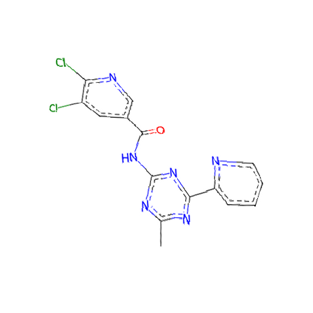 Cc1nc(NC(=O)c2cnc(Cl)c(Cl)c2)nc(-c2ccccn2)n1